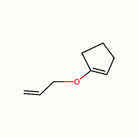 C=CCOC1=CCCC1